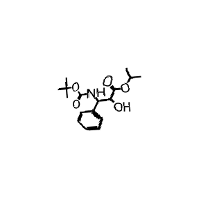 CC(C)OC(=O)C(O)C(NC(=O)OC(C)(C)C)c1ccccc1